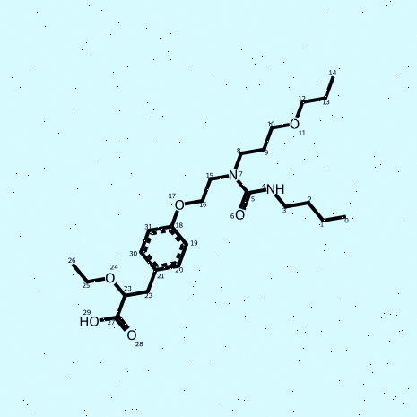 CCCCNC(=O)N(CCCOCCC)CCOc1ccc(CC(OCC)C(=O)O)cc1